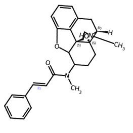 CN(C(=O)/C=C/c1ccccc1)C1CC[C@@]2(O)[C@H]3Cc4cccc5c4[C@@]2(CCN3C)C1O5